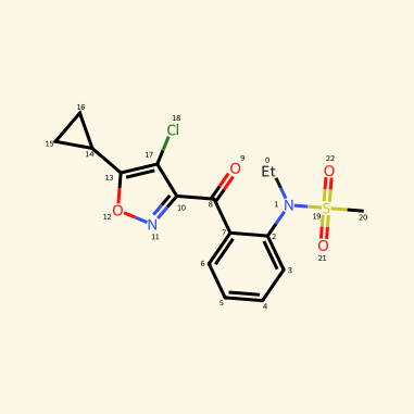 CCN(c1ccccc1C(=O)c1noc(C2CC2)c1Cl)S(C)(=O)=O